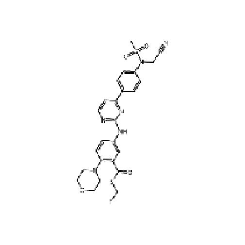 CS(=O)(=O)N(CC#N)c1ccc(-c2ccnc(Nc3ccc(N4CCOCC4)c(C(=O)SCF)c3)n2)cc1